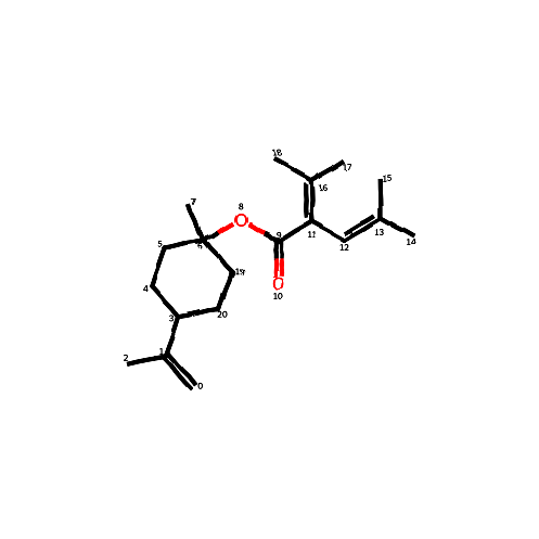 C=C(C)C1CCC(C)(OC(=O)C(C=C(C)C)=C(C)C)CC1